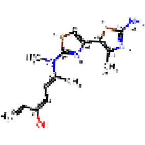 C=C/C(O)=C\C=C(/C)N(C)c1nc(-c2sc(N)nc2C)cs1